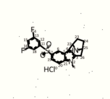 Cl.Cn1c2c(c3cc(S(=O)(=O)c4cc(F)cc(F)c4)ccc31)C1CCC(C2)N1